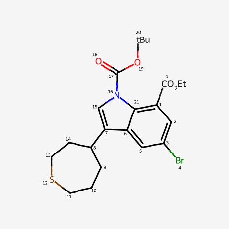 CCOC(=O)c1cc(Br)cc2c(C3CCCSCC3)cn(C(=O)OC(C)(C)C)c12